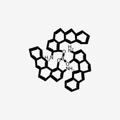 Nc1ccc2ccc3cc4ccccc4cc3c2c1OB(Oc1c(N)ccc2ccc3cc4ccccc4cc3c12)Oc1c(N)ccc2ccc3cc4ccccc4cc3c12